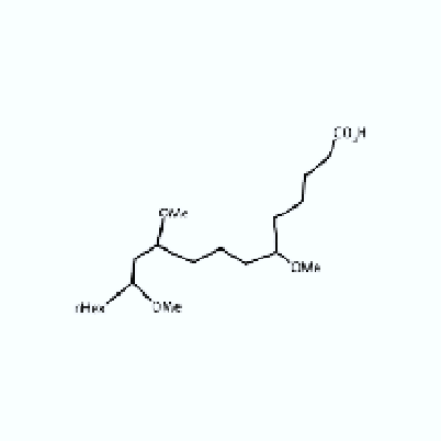 CCCCCCC(CC(CCCC(CCCCC(=O)O)OC)OC)OC